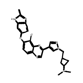 Cc1nc2ccc(Oc3ccc4ncc(-c5cnn(CC6CC(N(C)C)C6)c5)nc4c3Cl)cc2[nH]1